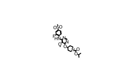 COc1c(Nc2ccc(S(C)(=O)=O)cc2F)ncnc1OC1CCN(C(=O)OC(C)C)CC1